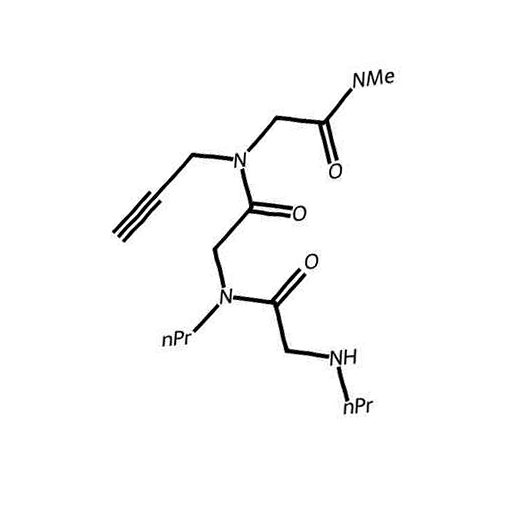 C#CCN(CC(=O)NC)C(=O)CN(CCC)C(=O)CNCCC